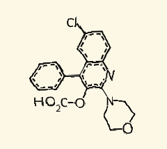 O=C(O)Oc1c(N2CCOCC2)nc2ccc(Cl)cc2c1-c1ccccc1